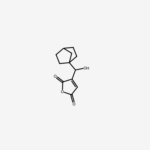 O=C1C=C(C(O)C23CCC(CC2)C3)C(=O)O1